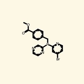 COC(=O)c1ccc(CN(c2cnccn2)c2cc(Br)ccn2)cc1